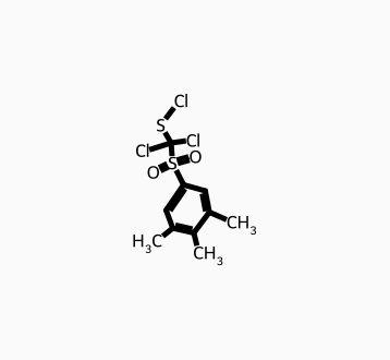 Cc1cc(S(=O)(=O)C(Cl)(Cl)SCl)cc(C)c1C